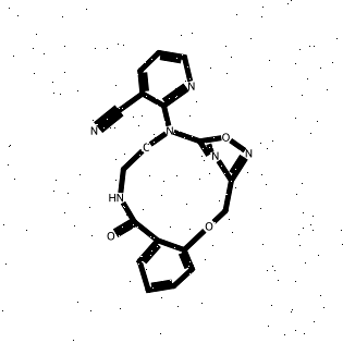 N#Cc1cccnc1N1CCNC(=O)c2ccccc2OCc2noc1n2